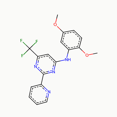 COc1ccc(OC)c(Nc2cc(C(F)(F)F)nc(-c3ccccn3)n2)c1